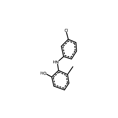 Cc1cccc(O)c1Nc1cccc(Cl)c1